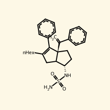 C=C(c1ccccc1)[C@@]12CC[C@H](NS(N)(=O)=O)C1CC(CCCCCC)=C2c1ccccc1